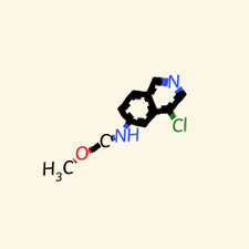 COCCNc1ccc2cncc(Cl)c2c1